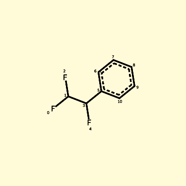 FC(F)C(F)c1[c]cccc1